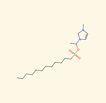 CCCCCCCCCCCCS(=O)(=O)OC(C)N1C=CN(C)C1